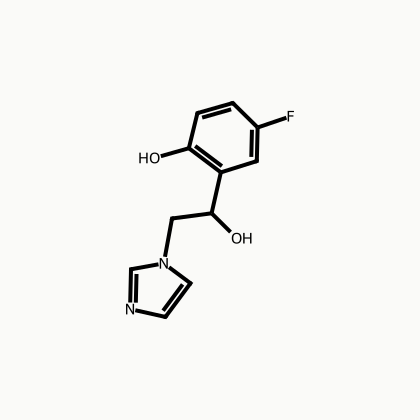 Oc1ccc(F)cc1C(O)Cn1ccnc1